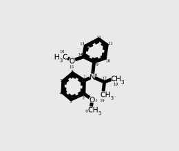 COc1ccccc1N(c1ccccc1OC)C(C)C